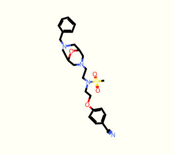 CS(=O)(=O)N(CCOc1ccc(C#N)cc1)CCN1CC2CN(Cc3ccccc3)CC(C1)O2